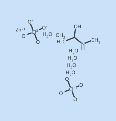 CNC(C)O.O.O.O.O.O.O.[O-][Cl+3]([O-])([O-])[O-].[O-][Cl+3]([O-])([O-])[O-].[Zn+2]